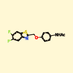 CC(=O)Nc1ccc(OCc2nc3cc(F)c(F)cc3s2)cc1